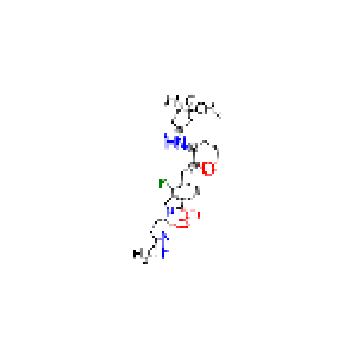 C=C1CCC(N2Cc3c(ccc(C[C@H]4OCCC[C@@H]4N[C@H]4CCC(C)(C)C4)c3F)C2=O)C(=O)N1